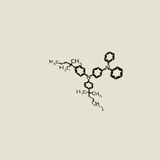 CCCC(C)(C)c1ccc(N(c2ccc(N(c3ccccc3)c3ccccc3)cc2)c2ccc(C(C)(C)CCC)cc2)cc1